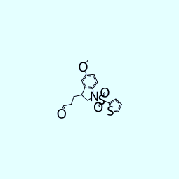 COc1ccc2c(c1)C(CCC=O)CN2S(=O)(=O)c1cccs1